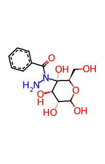 NN(C(=O)c1ccccc1)[C@]1(O)[C@H](O)[C@@H](O)C(O)O[C@@H]1CO